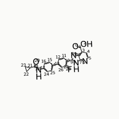 O=C(O)c1ccnc2[nH]c(-c3ccc(-c4ccc(NC(=O)C5CC5)cc4)cc3F)nc12